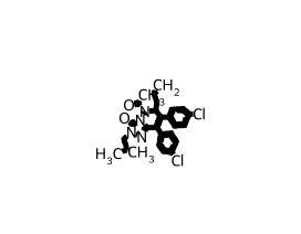 C=CCC1C(c2ccc(Cl)cc2)=C(c2ccc(Cl)cc2)c2nn(CC(C)C)c(=O)n2N1C(C)=O